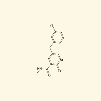 CNC(=O)c1cc(Cc2cccc(Cl)c2)c[nH]c1=O